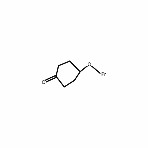 CC(C)OC1CCC(=O)CC1